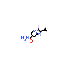 NC(=O)C1CCn2c(nc(C3CC3)c2I)C1